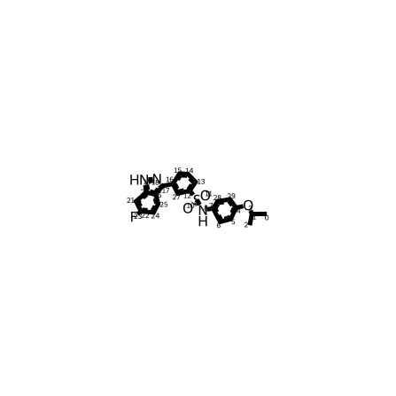 CC(C)Oc1ccc(NS(=O)(=O)c2cccc(-c3n[nH]c4cc(F)ccc34)c2)cc1